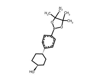 CC1(C)OB(c2ccc([C@H]3CC[C@H](O)CC3)cc2)OC1(C)C